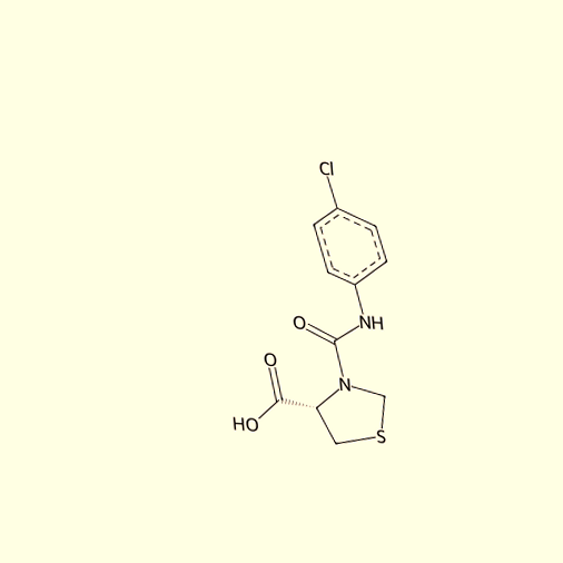 O=C(O)[C@H]1CSCN1C(=O)Nc1ccc(Cl)cc1